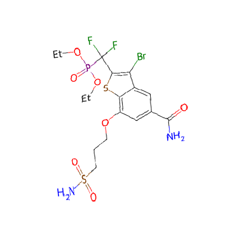 CCOP(=O)(OCC)C(F)(F)c1sc2c(OCCCS(N)(=O)=O)cc(C(N)=O)cc2c1Br